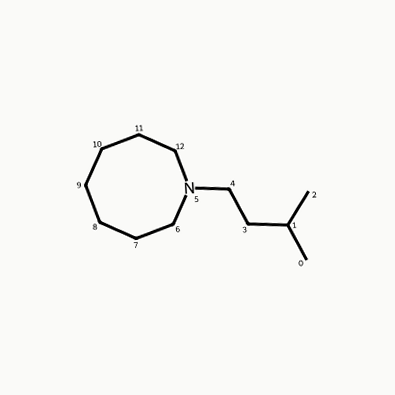 CC(C)CCN1CCCCCCC1